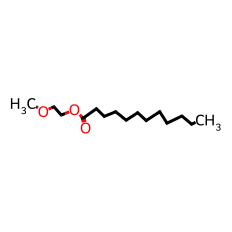 CCCCCCCCCCCC(=O)OCCOC